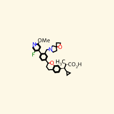 COc1cc(-c2ccc(C3CCc4ccc([C@H](C5CC5)[C@H](C)C(=O)O)cc4O3)cc2CN2CCC3(CCO3)C2)c(F)cn1